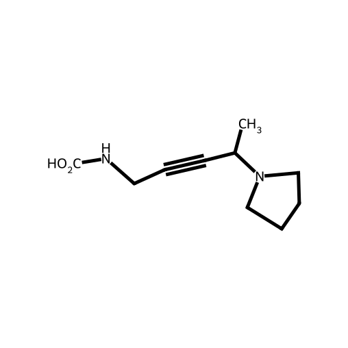 CC(C#CCNC(=O)O)N1CCCC1